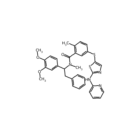 COc1ccc(C(Cc2ccccc2)N(C)C(=O)c2cc(Sc3cnc(Nc4ccccn4)s3)ccc2C)cc1OC